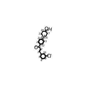 O=C(C=Cc1cccc(Cl)c1)c1ccc(N2CCC(O)CC2)cc1